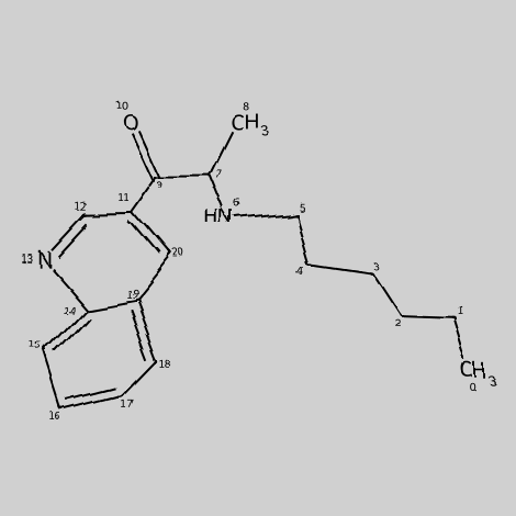 CCCCCCNC(C)C(=O)c1cnc2ccccc2c1